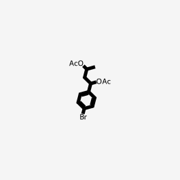 CC(=O)OC(C)CC(OC(C)=O)c1ccc(Br)cc1